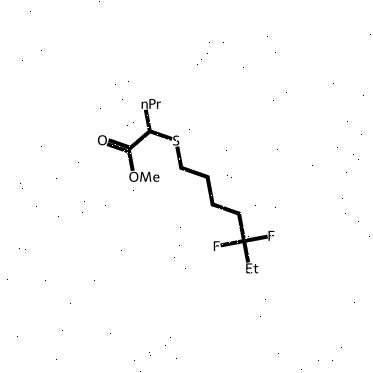 CCCC(SCCCCC(F)(F)CC)C(=O)OC